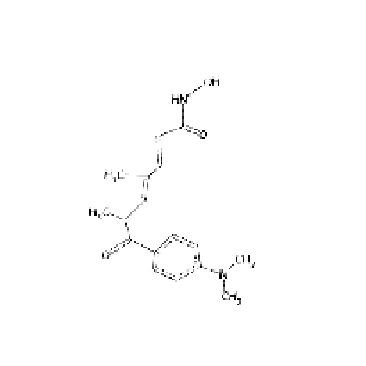 CC(/C=C/C(=O)NO)=C\C(C)C(=O)c1ccc(N(C)C)cc1